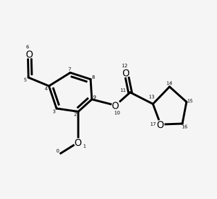 COc1cc(C=O)ccc1OC(=O)C1CCCO1